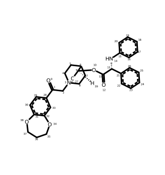 O=C(C[N+]12CCC(CC1)[C@@H](OC(=O)[C@H](Nc1ccccc1)c1ccccc1)C2)c1ccc2c(c1)OCCCO2